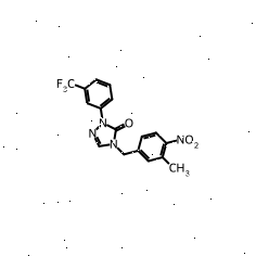 Cc1cc(Cn2cnn(-c3cccc(C(F)(F)F)c3)c2=O)ccc1[N+](=O)[O-]